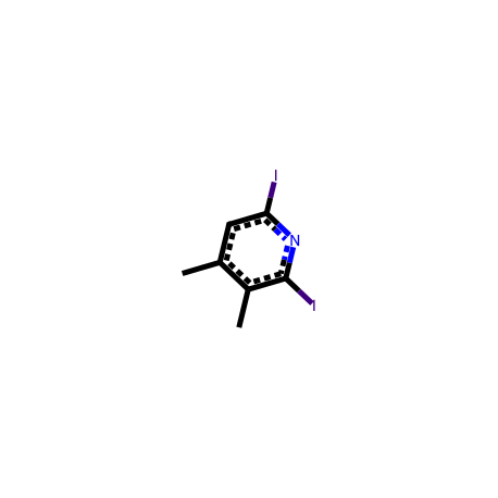 Cc1cc(I)nc(I)c1C